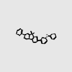 CC1(C)C2=C(CCC(C3=CC=CC(OC4=CC=CCC4)C3)=C2)c2ccc(C3=CC=CCC3)cc21